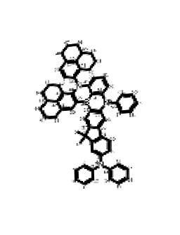 CC1(C)c2cc(N(c3ccccc3)c3ccccc3)ccc2-c2cc3c(cc21)B1c2cc4c5c(c2N(c2ccc6c7c2CCCC7CCC6)c2cccc(c21)N3c1ccccc1)CCCC5CCC4